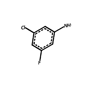 [NH]c1cc(F)cc(Cl)c1